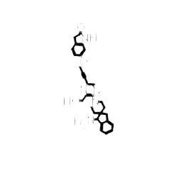 NC1c2ccccc2CC12CCN(c1ncc(C#CCOc3ccc4c(c3)NC(=O)C4)nc1CO)CC2